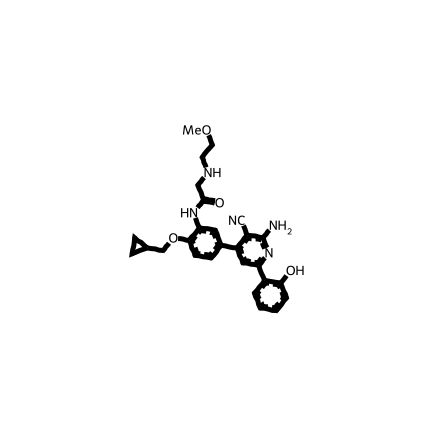 COCCNCC(=O)Nc1cc(-c2cc(-c3ccccc3O)nc(N)c2C#N)ccc1OCC1CC1